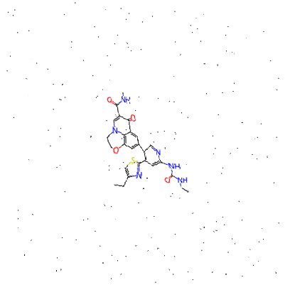 CCNC(=O)Nc1cc(-c2nc(CC)cs2)c(-c2cc3c4c(c2)c(=O)c(C(=O)NC)cn4CCO3)cn1